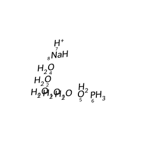 O.O.O.O.O.O.P.[H+].[NaH]